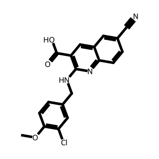 COc1ccc(CNc2nc3ccc(C#N)cc3cc2C(=O)O)cc1Cl